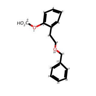 O=C(O)Oc1ccccc1CCOCc1ccccc1